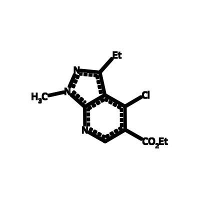 CCOC(=O)c1cnc2c(c(CC)nn2C)c1Cl